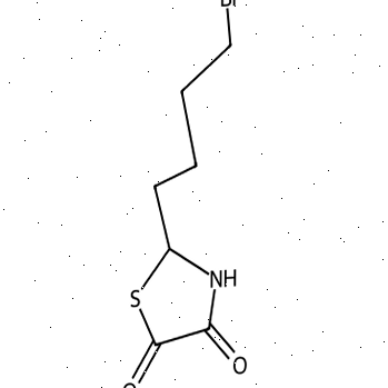 O=C1NC(CCCCBr)SC1=O